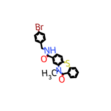 CN1C(=O)c2ccccc2Sc2ccc(C(=O)NCc3ccc(Br)cc3)cc21